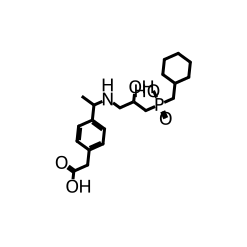 CC(NCC(O)CP(=O)(O)CC1CCCCC1)c1ccc(CC(=O)O)cc1